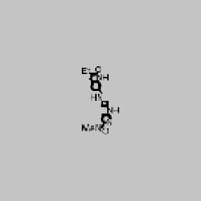 CCc1cc2ccc(CNC3CC(Nc4ccc(C(=O)NC)nc4)C3)cc2[nH]c1=O